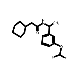 CC(NC(=O)CC1CCCCC1)c1cccc(OC(F)F)c1